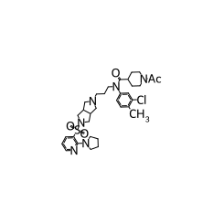 CC(=O)N1CCC(C(=O)N(CCCN2CC3CN(S(=O)(=O)c4cccnc4N4CCCC4)CC3C2)c2ccc(C)c(Cl)c2)CC1